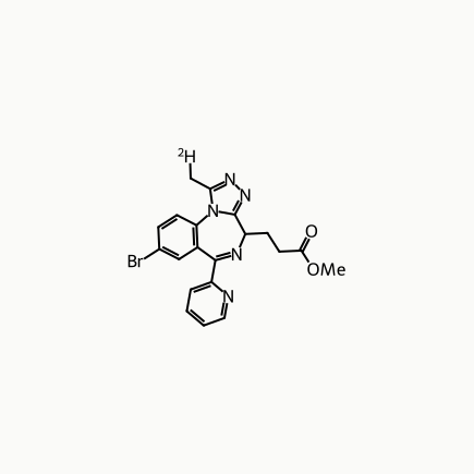 [2H]Cc1nnc2n1-c1ccc(Br)cc1C(c1ccccn1)=NC2CCC(=O)OC